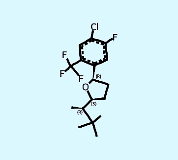 C[C@@H]([C@@H]1CC[C@H](c2cc(F)c(Cl)cc2C(F)(F)F)O1)C(C)(C)C